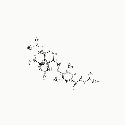 CCCCC(CC)COC(=O)c1cc(C#N)c(N=Nc2ccc(N(CC(CC)CCCC)CC(CC)CCCC)cc2NC(=O)CC)c(C#N)c1